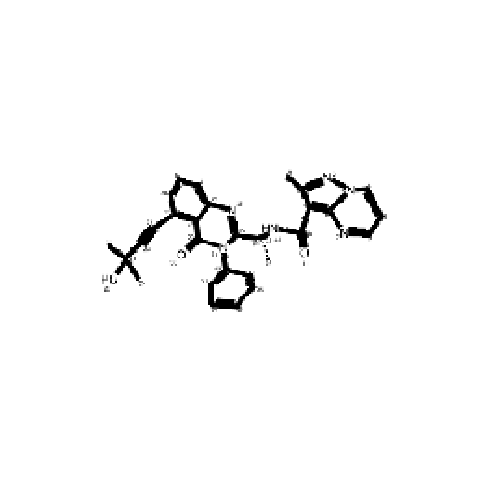 Cc1nn2cccnc2c1C(=O)N[C@H](C)c1nc2cccc(C#CC(C)(C)O)c2c(=O)n1-c1ccccc1